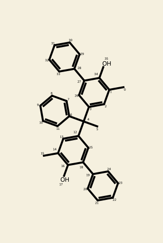 Cc1cc(C(C)(c2ccccc2)c2cc(C)c(O)c(-c3ccccc3)c2)cc(-c2ccccc2)c1O